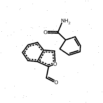 NC(=O)C1C=CC=CC1.O=Cc1occ2ccccc12